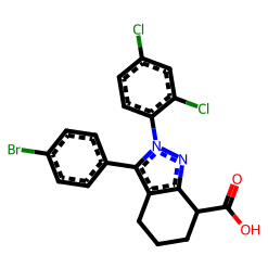 O=C(O)C1CCCc2c1nn(-c1ccc(Cl)cc1Cl)c2-c1ccc(Br)cc1